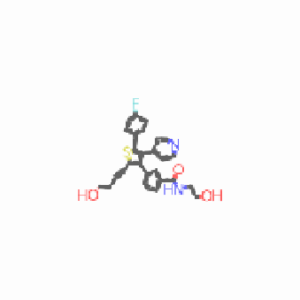 O=C(NCCO)c1cccc(-c2c(C#CCCO)sc(-c3ccc(F)cc3)c2-c2ccncc2)c1